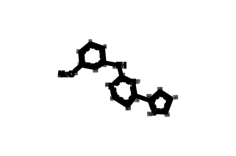 COc1cccc(Nc2nccc(-c3cccs3)n2)c1